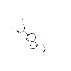 CN/C=C(\C=N)c1cc(O)c2c(NC(C)=O)cnn2c1